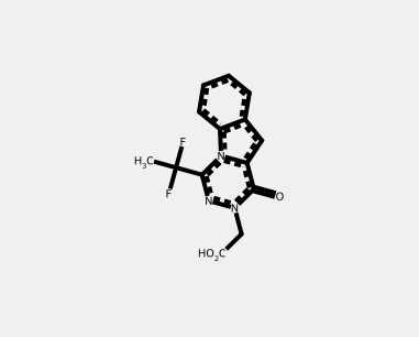 CC(F)(F)c1nn(CC(=O)O)c(=O)c2cc3ccccc3n12